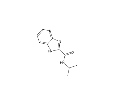 CC(C)NC(=O)c1nc2ncccc2[nH]1